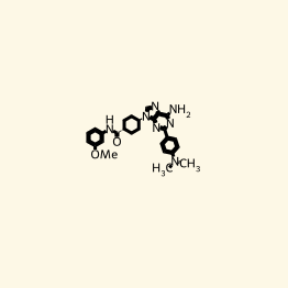 COc1cccc(NC(=O)[C@H]2CC[C@@H](n3cnc4c(N)nc(-c5ccc(N(C)C)cc5)nc43)CC2)c1